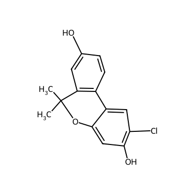 CC1(C)Oc2cc(O)c(Cl)cc2-c2ccc(O)cc21